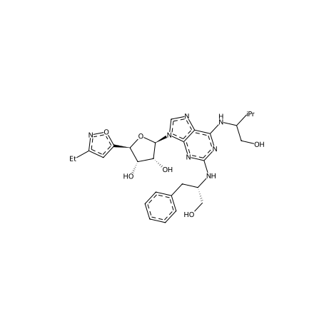 CCc1cc([C@H]2O[C@@H](n3cnc4c(NC(CO)C(C)C)nc(N[C@H](CO)Cc5ccccc5)nc43)[C@H](O)[C@@H]2O)on1